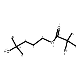 CCC(C)(C)C(=O)OCCCC(C)(C)O